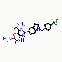 CC(Nc1cc(C(N)=O)nc(-c2ccc3c(ccn3Cc3ccc(C(F)(F)F)cc3)c2)n1)C(N)=O